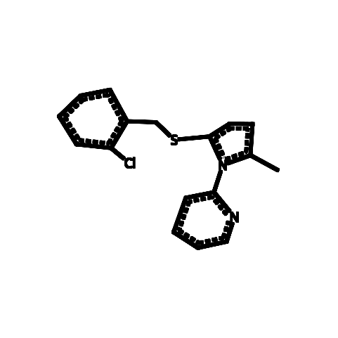 Cc1ccc(SCc2ccccc2Cl)n1-c1ccccn1